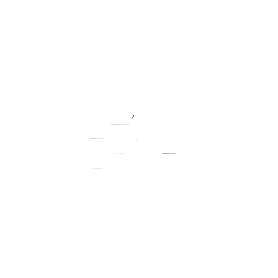 CCCCCCCCO[C@@H]1O[C@H](CO)C(O)C(O)[C@H]1O